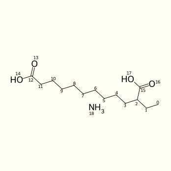 CCC(CCCCCCCCCC(=O)O)C(=O)O.N